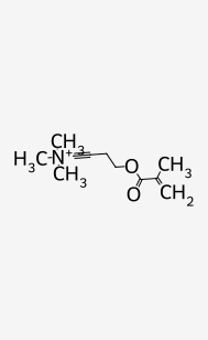 C=C(C)C(=O)OCCC#C[N+](C)(C)C